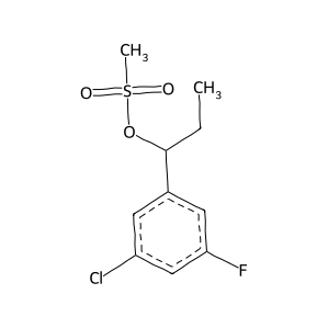 CCC(OS(C)(=O)=O)c1cc(F)cc(Cl)c1